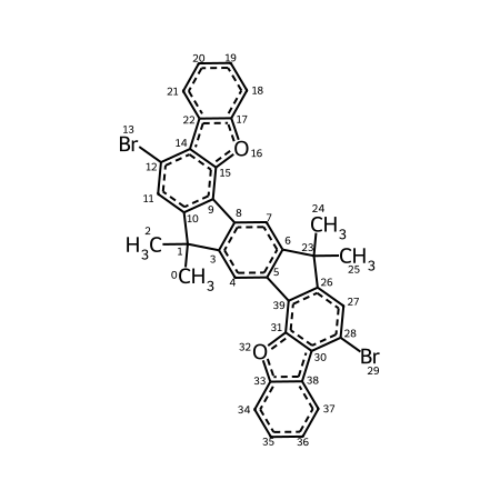 CC1(C)c2cc3c(cc2-c2c1cc(Br)c1c2oc2ccccc21)C(C)(C)c1cc(Br)c2c(oc4ccccc42)c1-3